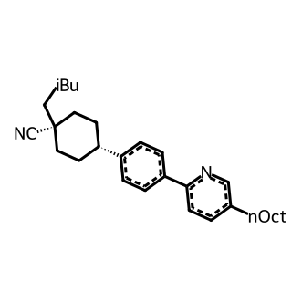 CCCCCCCCc1ccc(-c2ccc([C@H]3CC[C@](C#N)(CC(C)CC)CC3)cc2)nc1